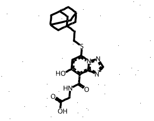 O=C(O)CNC(=O)c1c(O)cc(SCCC23CC4CC(CC(C4)C2)C3)n2ncnc12